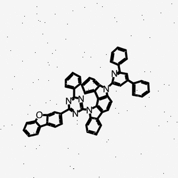 c1ccc(-c2cc(-c3ccccc3)nc(-n3c4ccccc4c4c3ccc3c5ccccc5n(-c5nc(-c6ccccc6)nc(-c6ccc7c(c6)oc6ccccc67)n5)c34)c2)cc1